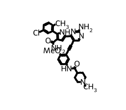 COc1ccc(NC(=O)C2CCN(C)CC2)cc1C#Cc1cnc(N)nc1-c1cc(C(N)=O)c(-c2cc(Cl)ccc2C)[nH]1